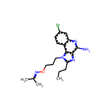 CCCc1nc2c(N)nc3cc(Br)ccc3c2n1CCCON=C(C)C